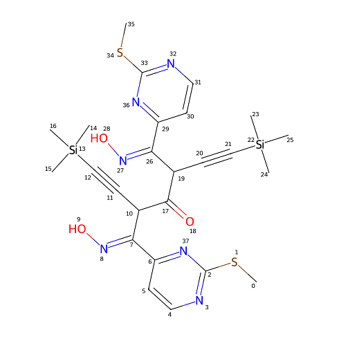 CSc1nccc(C(=NO)C(C#C[Si](C)(C)C)C(=O)C(C#C[Si](C)(C)C)C(=NO)c2ccnc(SC)n2)n1